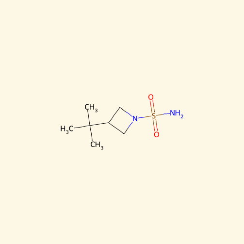 CC(C)(C)C1CN(S(N)(=O)=O)C1